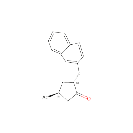 CC(=O)[C@@H]1CC(=O)[C@@H](Cc2ccc3ccccc3c2)C1